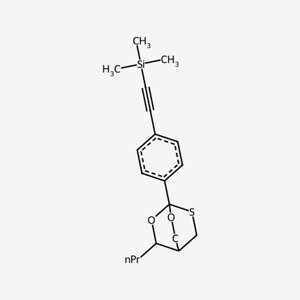 CCCC1OC2(c3ccc(C#C[Si](C)(C)C)cc3)OCC1CS2